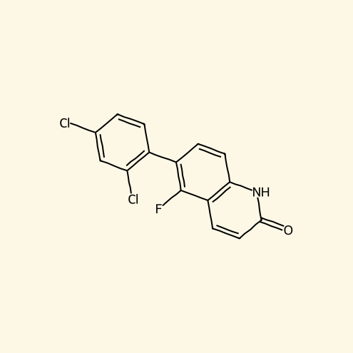 O=c1ccc2c(F)c(-c3ccc(Cl)cc3Cl)ccc2[nH]1